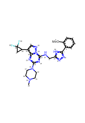 COc1ccccc1-c1nnc(CNc2nc(N3CCN(C)CC3)nc3c(C4CC4(F)F)cnn23)[nH]1